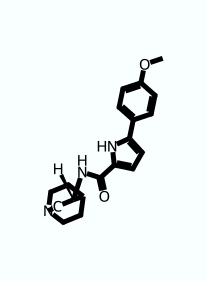 COc1ccc(-c2ccc(C(=O)N[C@H]3CN4CCC3CC4)[nH]2)cc1